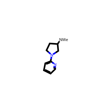 CNC1CCN(c2ccccn2)C1